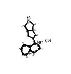 Cl.Cl.c1ccc2c(C3CC4CNCC4C3)cccc2c1